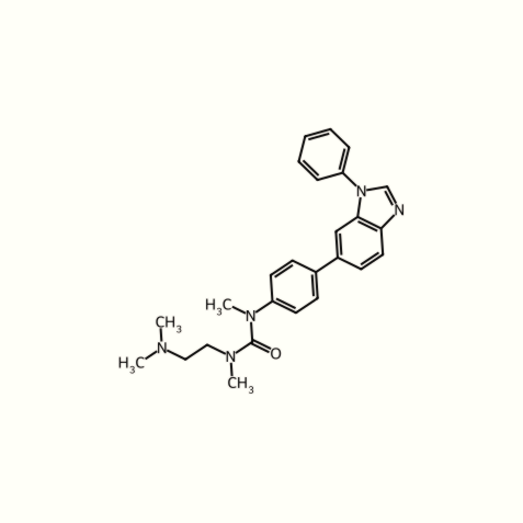 CN(C)CCN(C)C(=O)N(C)c1ccc(-c2ccc3ncn(-c4ccccc4)c3c2)cc1